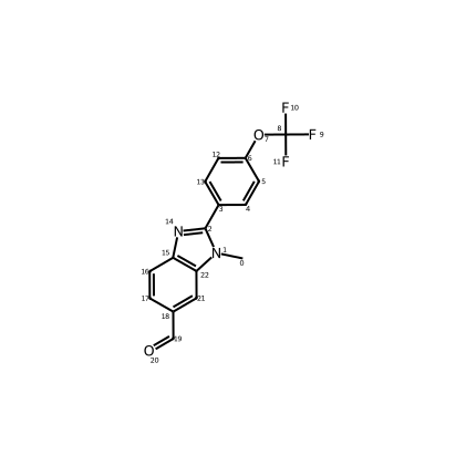 Cn1c(-c2ccc(OC(F)(F)F)cc2)nc2ccc(C=O)cc21